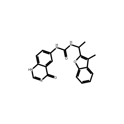 Cc1c(C(C)NC(=O)Nc2ccc3[nH]cnc(=O)c3c2)oc2ccccc12